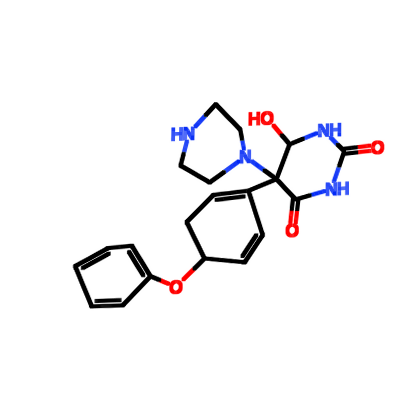 O=C1NC(=O)C(C2=CCC(Oc3ccccc3)C=C2)(N2CCNCC2)C(O)N1